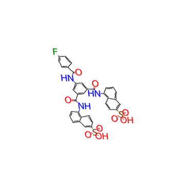 O=C(Nc1cc(C(=O)Nc2cccc3cc(S(=O)(=O)O)ccc23)cc(C(=O)Nc2cccc3cc(S(=O)(=O)O)ccc23)c1)c1ccc(F)cc1